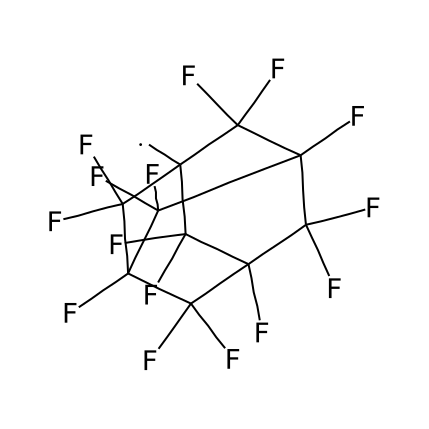 [CH2]C12C(F)(F)C3(F)C(F)(F)C(F)(C1(F)F)C(F)(F)C(F)(C2(F)F)C3(F)F